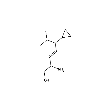 CC(C)C(C=CC(N)CO)C1CC1